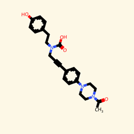 CC(=O)N1CCN(c2ccc(C#CCN(CCc3ccc(O)cc3)C(=O)O)cc2)CC1